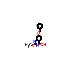 COc1nc(O)c2ccc(OCc3ccccc3)cc2n1